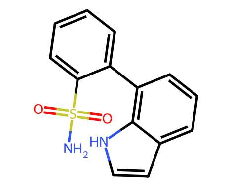 NS(=O)(=O)c1ccccc1-c1cccc2cc[nH]c12